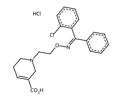 Cl.O=C(O)C1=CCCN(CCON=C(c2ccccc2)c2ccccc2Cl)C1